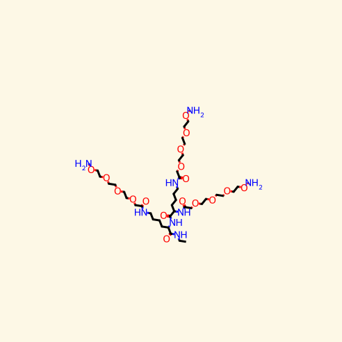 CCNC(=O)C(CCCCNC(=O)COCCOCCOCCON)NC(=O)C(CCCCNC(=O)COCCOCCOCCON)NC(=O)COCCOCCOCCON